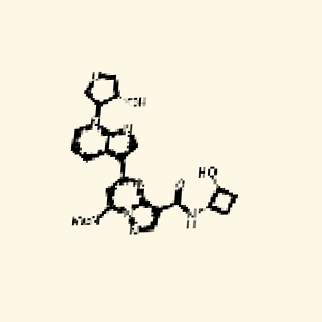 CNc1cc(-c2cnc3n(C4COC[C@@H]4O)cccc2-3)nc2c(C(=O)N[C@H]3CC[C@H]3O)cnn12